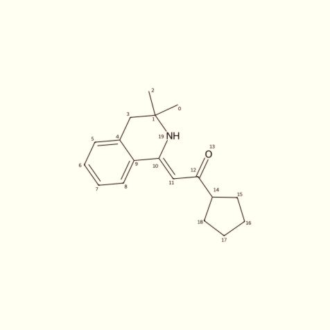 CC1(C)Cc2ccccc2/C(=C/C(=O)C2CCCC2)N1